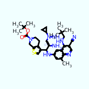 Cc1cc(NC(/C(N)=C/N(N)C2CC2)c2csc3c2CCN(C(=O)OC(C)(C)C)C3)cc2c(NCC(C)(C)C)c(C#N)cnc12